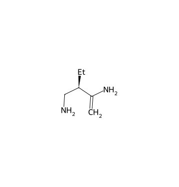 C=C(N)[C@H](CC)CN